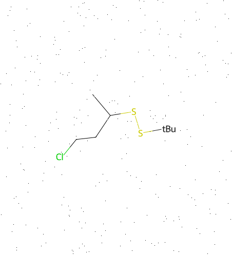 CC(CCCl)SSC(C)(C)C